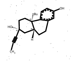 CC#C[C@@]1(O)CC[C@@]2(CCCC)c3ccc(O)cc3CC[C@@H]2C1